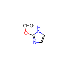 O=[C]Oc1ncc[nH]1